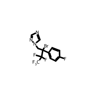 Fc1ccc(C(Br)(Cn2cncn2)C(F)(F)C(F)(F)F)cc1